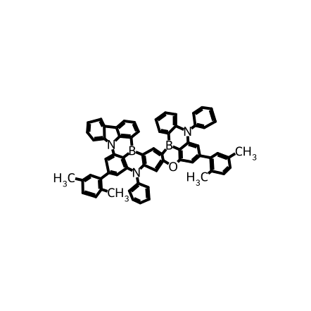 Cc1ccc(C)c(-c2cc3c4c(c2)N(c2ccccc2)c2ccccc2B4c2cc4c(cc2O3)N(c2ccccc2)c2cc(-c3cc(C)ccc3C)cc3c2B4c2cccc4c5ccccc5n-3c24)c1